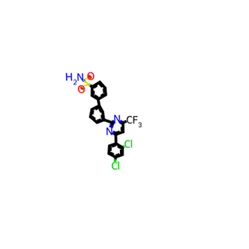 NS(=O)(=O)c1cccc(-c2cccc(-c3nc(-c4ccc(Cl)cc4Cl)cc(C(F)(F)F)n3)c2)c1